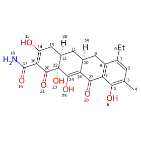 CCc1cc(C)c(O)c2c1C[C@@H]1C[C@@H]3CC(O)=C(C(N)=O)C(=O)[C@]3(O)C(O)=C1C2=O